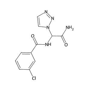 NC(=O)C(NC(=O)c1cccc(Cl)c1)n1ccnn1